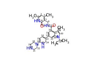 Cc1cc(C)c(CNC(=O)c2cc(C3=CC=C(N4CCNCC4)NC3)cc3c2c(C)cn3C(C)C)c(=O)[nH]1